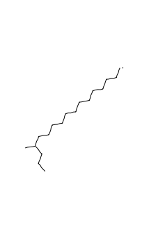 [CH2]CCCCCCCCCCCCC(C)CCC